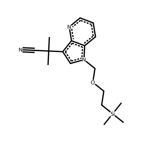 CC(C)(C#N)c1cn(COCC[Si](C)(C)C)c2cccnc12